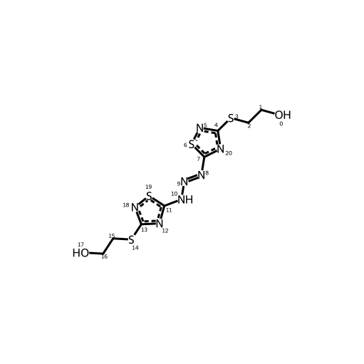 OCCSc1nsc(N=NNc2nc(SCCO)ns2)n1